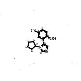 Oc1ccc(Cl)cc1-c1cncn1C1CCCC1